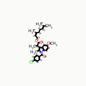 COc1ccc2c(c1)c(C(C)C(=O)OCC=C(C)CCC=C(C)C)c(C)n2C(=O)c1ccc(Cl)cc1